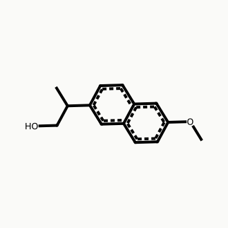 COc1ccc2cc(C(C)CO)ccc2c1